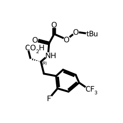 CC(C)(C)OOC(=O)C(=O)N[C@@H](CC(=O)O)Cc1ccc(C(F)(F)F)cc1F